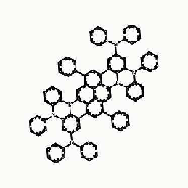 c1ccc(-c2cc3c4c(cc5c(-c6ccccc6)cc6c7c(cc2c4c57)B2c4ccccc4N(c4ccccc4)c4cc(N(c5ccccc5)c5ccccc5)cc-6c42)B2c4ccccc4N(c4ccccc4)c4cc(N(c5ccccc5)c5ccccc5)cc-3c42)cc1